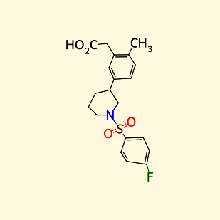 Cc1ccc(C2CCCN(S(=O)(=O)c3ccc(F)cc3)C2)cc1CC(=O)O